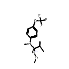 CO/N=C(\C(C)C)N(C)c1ccc(OC(F)(F)F)cc1